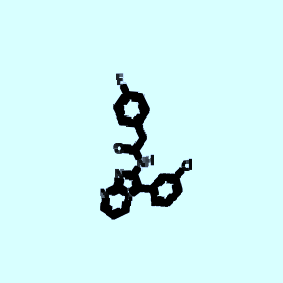 O=C(Cc1ccc(F)cc1)Nc1nc2ncccn2c1-c1cccc(Cl)c1